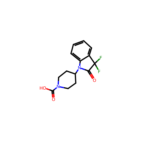 O=C(O)N1CCC(N2C(=O)C(F)(F)c3ccccc32)CC1